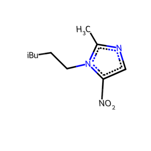 CCC(C)CCn1c([N+](=O)[O-])cnc1C